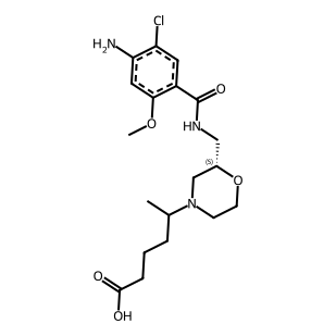 COc1cc(N)c(Cl)cc1C(=O)NC[C@H]1CN(C(C)CCCC(=O)O)CCO1